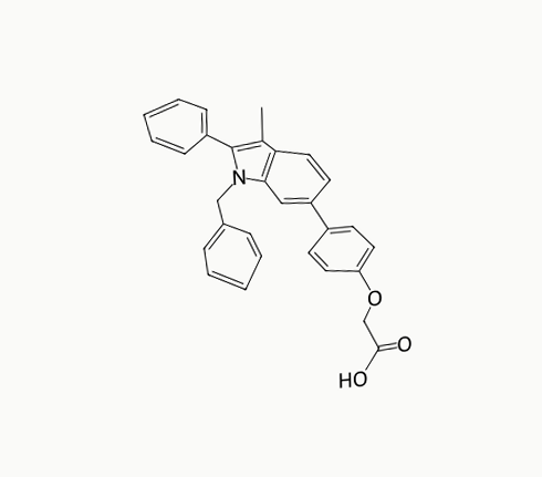 Cc1c(-c2ccccc2)n(Cc2ccccc2)c2cc(-c3ccc(OCC(=O)O)cc3)ccc12